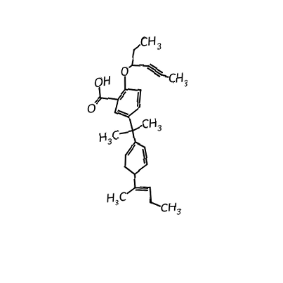 CC#CC(CC)Oc1ccc(C(C)(C)C2=CCC(C(C)=CCC)C=C2)cc1C(=O)O